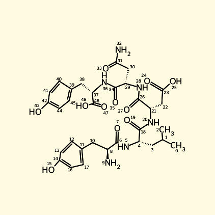 CC(C)C[C@H](NC(=O)[C@@H](N)Cc1ccc(O)cc1)C(=O)N[C@@H](CC(=O)O)C(=O)N[C@@H](CC(N)=O)C(=O)N[C@@H](Cc1ccc(O)cc1)C(=O)O